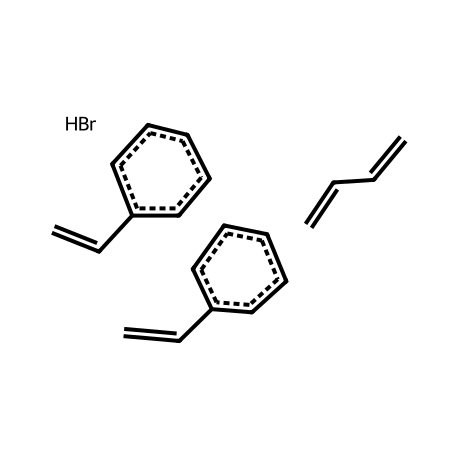 Br.C=CC=C.C=Cc1ccccc1.C=Cc1ccccc1